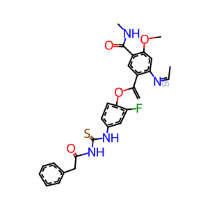 C=C(Oc1ccc(NC(=S)NC(=O)Cc2ccccc2)cc1F)c1cc(C(=O)NC)c(OC)cc1/N=C\C